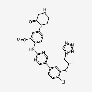 COc1cc(N2CCNCC2=O)ccc1Nc1ncc(-c2ccc(Cl)c(O[C@@H](C)Cn3cnnn3)c2)cn1